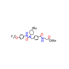 COC(=O)CCNC(=O)c1ccc(CN(C(=O)Nc2ccc(OC(F)(F)F)cc2)C2CCC(C(C)(C)C)CC2)cc1